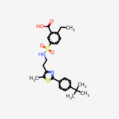 CCc1ccc(S(=O)(=O)NCCc2nc(-c3ccc(C(C)(C)C)cc3)sc2C)cc1C(=O)O